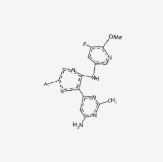 COc1ncc(Nc2ncc(C(C)=O)nc2-c2cc(N)nc(C)n2)cc1F